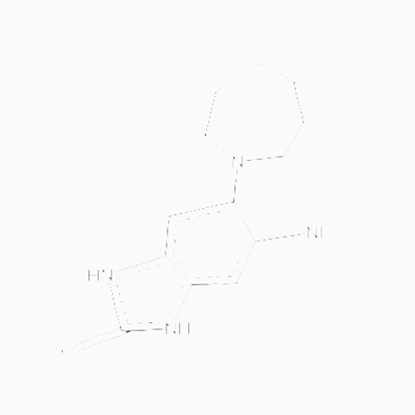 Nc1cc2[nH]c(=O)[nH]c2cc1N1CCCCCC1